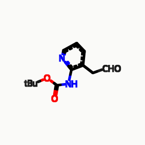 CC(C)(C)OC(=O)Nc1ncccc1CC=O